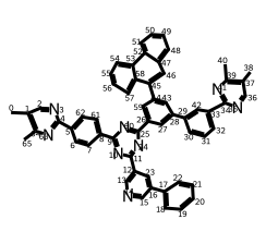 Cc1cnc(-c2ccc(-c3nc(-c4cncc(-c5ccccc5)c4)nc(-c4cc(-c5cccc(-c6ncc(C)c(C)n6)c5)cc(-c5cc6ccccc6c6ccccc56)c4)n3)cc2)nc1C